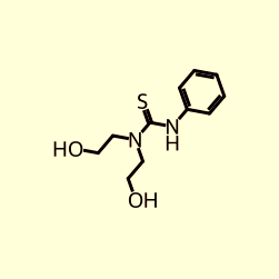 OCCN(CCO)C(=S)Nc1ccccc1